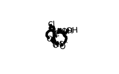 C[C@H]1C/C=C/C(O)(CCO)[C@@H]2CC[C@H]2CN2Cc3ccc(Cl)cc3CCCCOc3ccc(cc32)C(=O)/N=[SH](=O)\C1